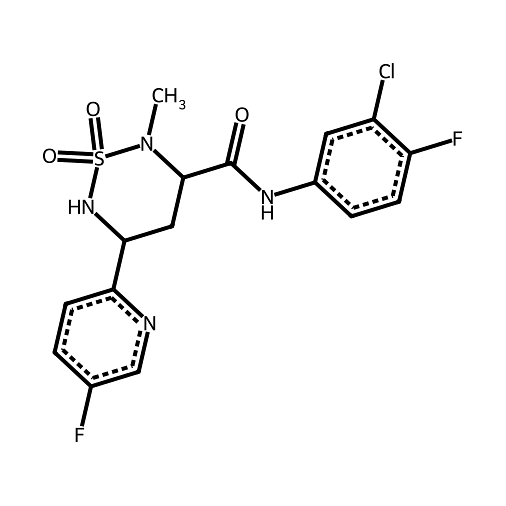 CN1C(C(=O)Nc2ccc(F)c(Cl)c2)CC(c2ccc(F)cn2)NS1(=O)=O